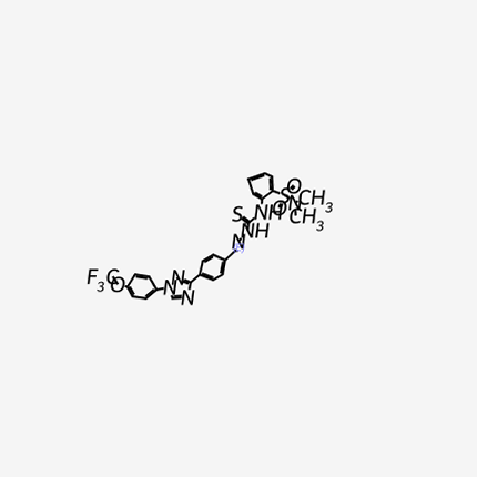 CN(C)S(=O)(=O)c1ccccc1NC(=S)N/N=C/c1ccc(-c2ncn(-c3ccc(OC(F)(F)F)cc3)n2)cc1